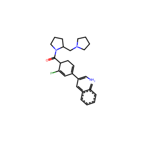 C=c1cccc/c1=C/C(=C\N)C1=CCC(C(=O)N2CCCC2CN2CCCC2)C(F)=C1